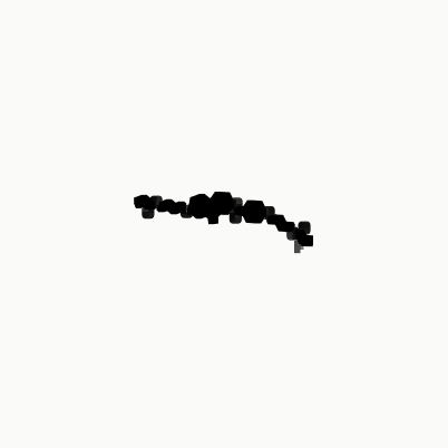 C=CC(=O)OCCCCOc1ccc2c(c1)C(C)c1cc(OC(=O)c3ccc(OCCCCOC(=O)C(=C)F)cc3)ccc1-2